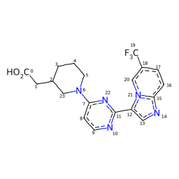 O=C(O)CC1CCCN(c2ccnc(-c3cnc4ccc(C(F)(F)F)cn34)n2)C1